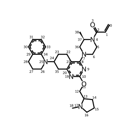 C=CC(=O)N1CCN(c2nc(OCC3CCCN3C)nc3c2CCC(N2CCCc4ccccc42)C3)C[C@H]1C